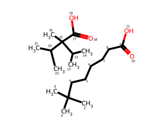 CC(C)(C)CCCCCC(=O)O.CC(C)C(C)(C(=O)O)C(C)C